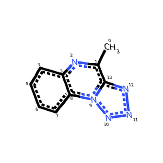 Cc1nc2ccccc2n2nnnc12